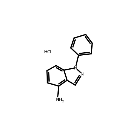 Cl.Nc1cccc2c1cnn2-c1ccccc1